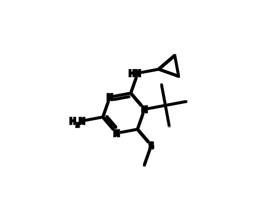 CSC1N=C(N)N=C(NC2CC2)N1C(C)(C)C